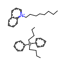 CCCCCCCC[n+]1cccc2ccccc21.CCCC[B-](CCCC)(c1ccccc1)c1ccccc1